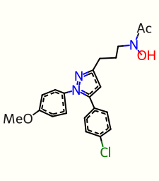 COc1ccc(-n2nc(CCCN(O)C(C)=O)cc2-c2ccc(Cl)cc2)cc1